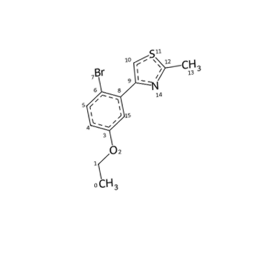 CCOc1ccc(Br)c(-c2csc(C)n2)c1